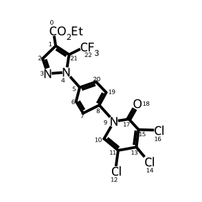 CCOC(=O)c1cnn(-c2ccc(-n3cc(Cl)c(Cl)c(Cl)c3=O)cc2)c1C(F)(F)F